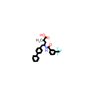 C[C@H](CC(Cc1ccc(-c2ccccc2)cc1)NC(=O)c1cccc(C(F)(F)F)c1)C(=O)O